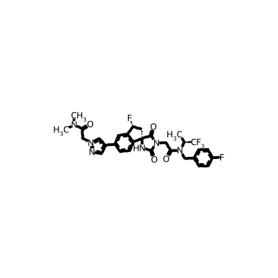 C[C@H](N(Cc1ccc(F)cc1)C(=O)CN1C(=O)N[C@]2(C[C@@H](F)c3cc(-c4cnn(CC(=O)N(C)C)c4)ccc32)C1=O)C(F)(F)F